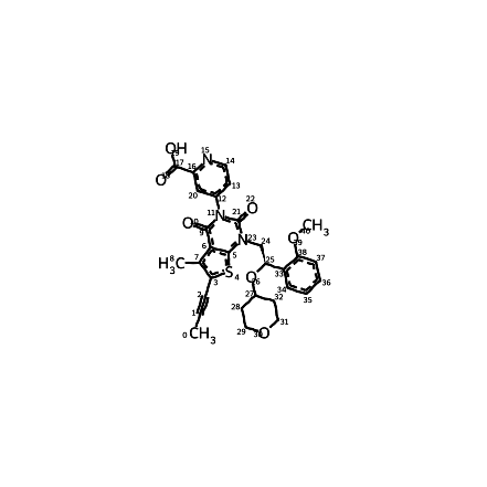 CC#Cc1sc2c(c1C)c(=O)n(-c1ccnc(C(=O)O)c1)c(=O)n2C[C@H](OC1CCOCC1)c1ccccc1OC